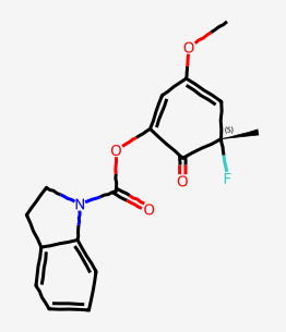 COC1=C[C@](C)(F)C(=O)C(OC(=O)N2CCc3ccccc32)=C1